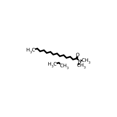 CCC.CCCCCCCCCCCCCC(=O)N(C)C